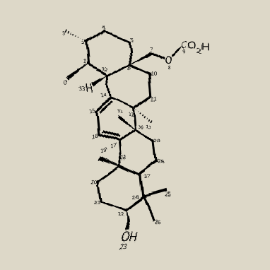 C[C@H]1[C@H](C)CC[C@]2(COC(=O)O)CC[C@]3(C)C(=CC=C4[C@@]5(C)CC[C@H](O)C(C)(C)C5CC[C@]43C)[C@H]12